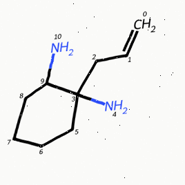 C=CCC1(N)CCCCC1N